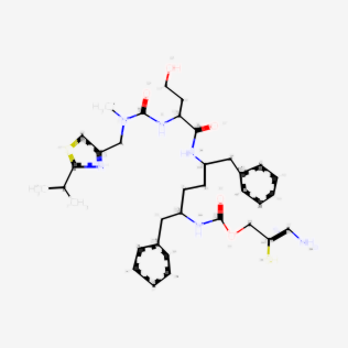 CC(C)c1nc(CN(C)C(=O)NC(CCO)C(=O)NC(CCC(Cc2ccccc2)NC(=O)OC/C(S)=C/N)Cc2ccccc2)cs1